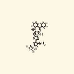 CC1(c2nc(-c3nnc(N[C@H]4N=C(c5ccccc5)c5ccccc5NC4=O)o3)c(N)s2)CCC1